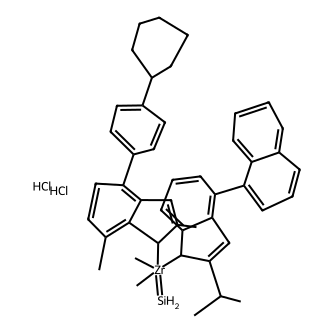 CC1=Cc2c(-c3ccc(C4CCCCC4)cc3)ccc(C)c2[CH]1[Zr]([CH3])([CH3])(=[SiH2])[CH]1C(C(C)C)=Cc2c(-c3cccc4ccccc34)cccc21.Cl.Cl